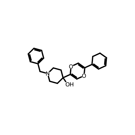 OC1(C2=COC(C3=CC=CCC3)=CO2)CCN(Cc2ccccc2)CC1